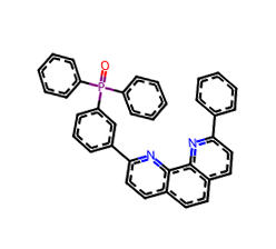 O=P(c1ccccc1)(c1ccccc1)c1cccc(-c2ccc3ccc4ccc(-c5ccccc5)nc4c3n2)c1